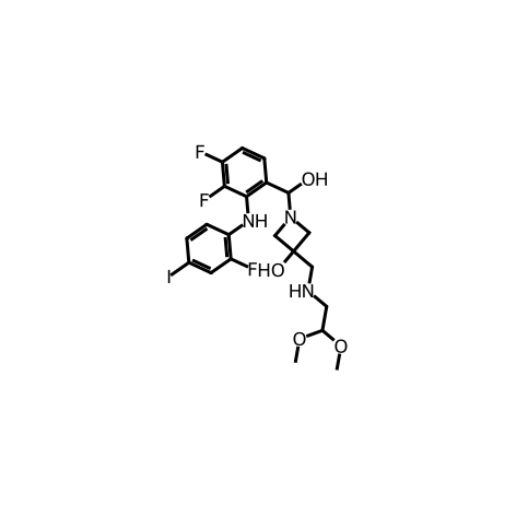 COC(CNCC1(O)CN(C(O)c2ccc(F)c(F)c2Nc2ccc(I)cc2F)C1)OC